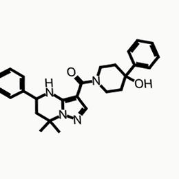 CC1(C)CC(c2ccccc2)Nc2c(C(=O)N3CCC(O)(c4ccccc4)CC3)cnn21